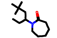 CCC(CC(C)(C)C)N1CCCCCC1=O